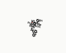 C=CCC1(CC(C)C)C(=O)NC(=O)NC1=O.CC(=O)Nc1ccc(O)cc1.CC(CN1c2ccccc2Sc2ccccc21)N(C)C.CC[C@@H](c1cccc(O)c1)[C@@H](C)CN(C)C